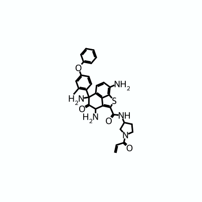 C=CC(=O)N1CCC(NC(=O)c2sc3c(N)ccc4c3c2C(N)C(=O)C4(N)c2ccc(Oc3ccccc3)cc2C)C1